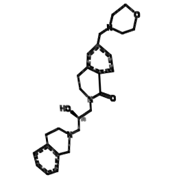 O=C1c2ccc(CN3CCOCC3)cc2CCN1C[C@H](O)CN1CCc2ccccc2C1